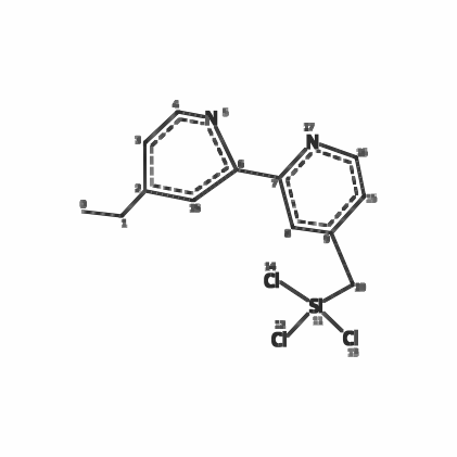 CCc1ccnc(-c2cc(C[Si](Cl)(Cl)Cl)ccn2)c1